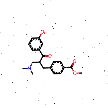 COC(=O)c1ccc(CC(CN(C)C)C(=O)c2cccc(O)c2)cc1